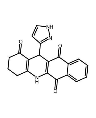 O=C1CCCC2=C1C(c1cc[nH]n1)C1=C(N2)C(=O)c2ccccc2C1=O